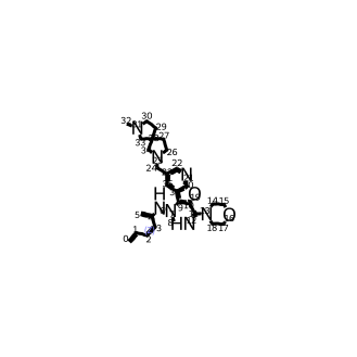 C=C/C=C\C(=C)NN(C)c1c(C(=N)N2CCOCC2)oc2ncc(CN3CCC4(CCN(C)C4)C3)cc12